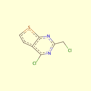 ClCc1nc(Cl)c2ccsc2n1